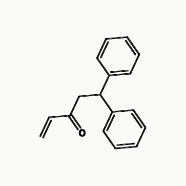 C=CC(=O)CC(c1ccccc1)c1ccccc1